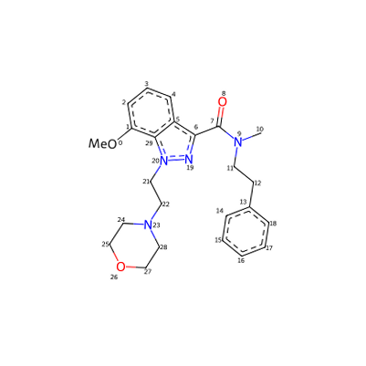 COc1cccc2c(C(=O)N(C)CCc3ccccc3)nn(CCN3CCOCC3)c12